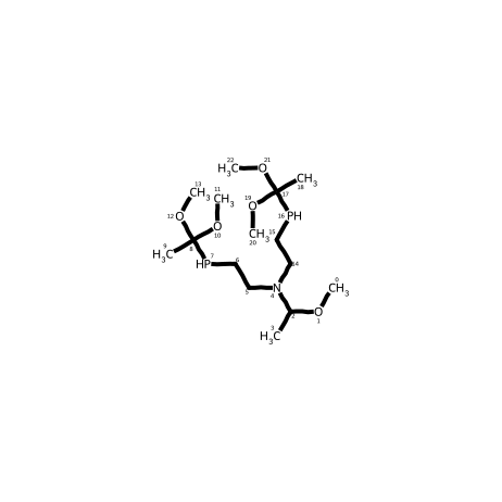 COC(C)N(CCPC(C)(OC)OC)CCPC(C)(OC)OC